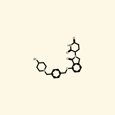 CC(C)C1CCN(Cc2ccc(COc3cccc4c3C(=O)N(C3CCC(=O)NC3=O)C4)cc2)CC1